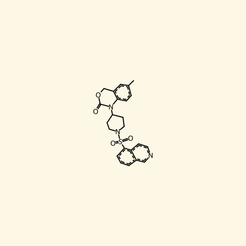 Cc1ccc2c(c1)COC(=O)N2C1CCN(S(=O)(=O)c2cccc3cnccc23)CC1